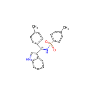 Cc1ccc([C@@H](NS(=O)(=O)c2ccc(C)cc2)c2c[nH]c3ccccc23)cc1